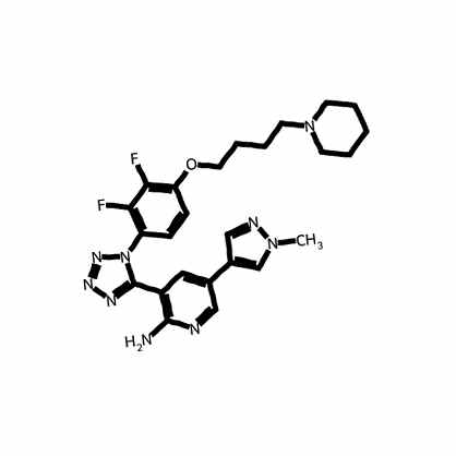 Cn1cc(-c2cnc(N)c(-c3nnnn3-c3ccc(OCCCCN4CCCCC4)c(F)c3F)c2)cn1